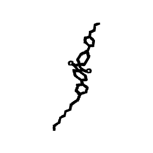 CCCCCCCCCC1CCC(C2CCC3(CC2)C(=O)C2(CCC(C4CCC(CCCC)CC4)CC2)C3=O)CC1